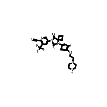 N#Cc1ncc(N2C(=O)C3(CCC3)N(c3ccc(OCCN4CCNCC4)c(F)c3)C2=S)cc1C(F)(F)F